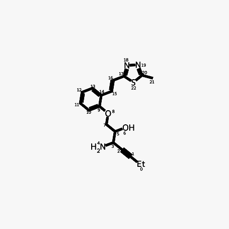 CCC#CC(N)C(O)COc1ccccc1C=Cc1nnc(C)s1